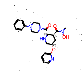 CN(O)C(=O)[C@H]1C[C@H](Oc2ccccn2)CN[C@@H]1C(=O)N1CCN(c2ccccc2)CC1